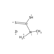 CN(C)C(=S)S.[Zr]